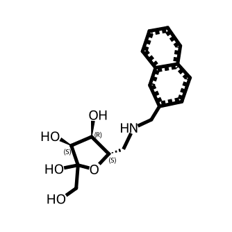 OCC1(O)O[C@@H](CNCc2ccc3ccccc3c2)[C@H](O)[C@@H]1O